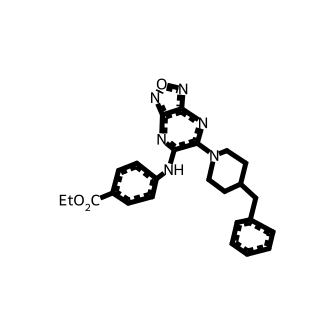 CCOC(=O)c1ccc(Nc2nc3nonc3nc2N2CCC(Cc3ccccc3)CC2)cc1